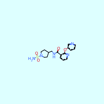 NS(=O)(=O)N1CCC(CNC(=O)c2cccnc2Oc2cccnc2)CC1